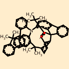 CC(C)(C)c1ccc2c(c1)C13c4ccccc4-c4ccc(cc41)N(c1ccccc1-c1ccccc1)c1cc4c(cc1C(C)(C)c1ccc-2c3c1)-c1ccccc1C4(C)C